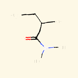 [CH2]CC(C)C(=O)N(C)C